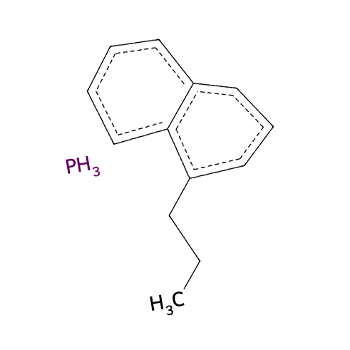 CCCc1cccc2ccccc12.P